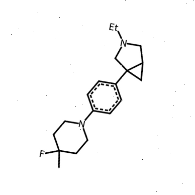 CCN1CC2CC2(c2ccc(N3CCC(C)(F)CC3)cc2)C1